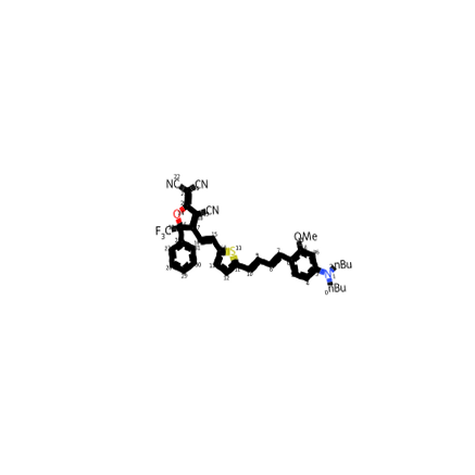 CCCCN(CCCC)c1ccc(/C=C/C=C/c2ccc(/C=C/C3=C(C#N)C(=C(C#N)C#N)OC3(c3ccccc3)C(F)(F)F)s2)c(OC)c1